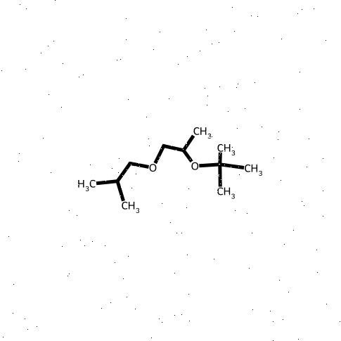 CC(C)COCC(C)OC(C)(C)C